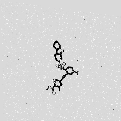 COC(=O)c1ncc(C#Cc2cc(F)ccc2NS(=O)(=O)c2ccc3c(c2)oc2ccccc23)cc1C